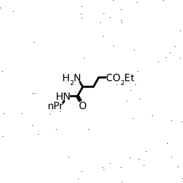 CCCNC(=O)C(N)CCC(=O)OCC